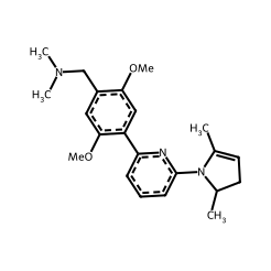 COc1cc(-c2cccc(N3C(C)=CCC3C)n2)c(OC)cc1CN(C)C